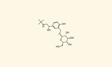 CC(C)(C)NCC(O)c1ccc(O)c(CO[C@@H]2O[C@H](CO)[C@H](O)[C@H](O)[C@H]2O)c1